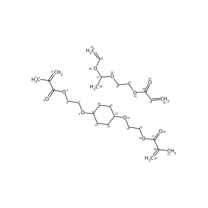 C=C(C)C(=O)OCCOC1CCC(OCCOC(=O)C(=C)C)CC1.C=COC(C)OCCOC(=O)C=C